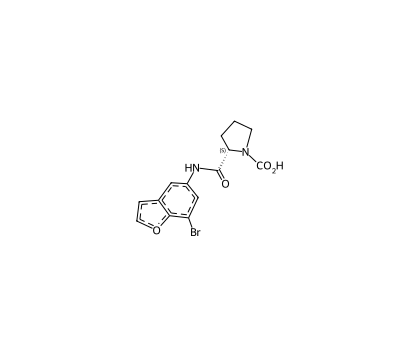 O=C(Nc1cc(Br)c2occc2c1)[C@@H]1CCCN1C(=O)O